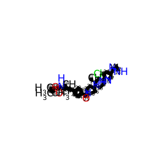 CC[C@H]1CN(c2ncc(-c3ncc[nH]3)cc2Cl)CCN1C1CCN(C(=O)c2ccc(C#CC(C)(C)NC(=O)OC(C)(C)C)cc2)CC1